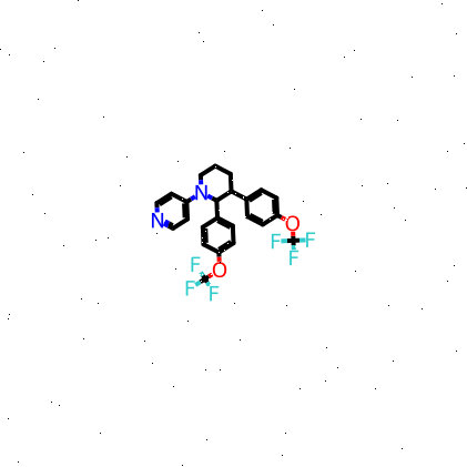 FC(F)(F)Oc1ccc(C2CCCN(c3ccncc3)C2c2ccc(OC(F)(F)F)cc2)cc1